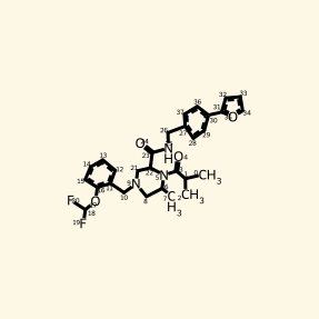 CC(C)C(=O)N1C(C)CN(Cc2ccccc2OC(F)F)CC1C(=O)NCc1ccc(-c2ccco2)cc1